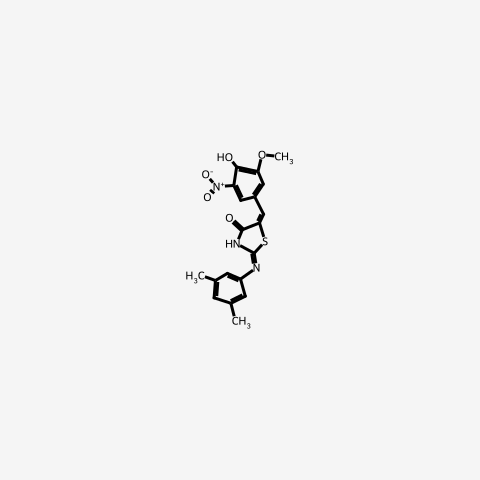 COc1cc(C=C2SC(=Nc3cc(C)cc(C)c3)NC2=O)cc([N+](=O)[O-])c1O